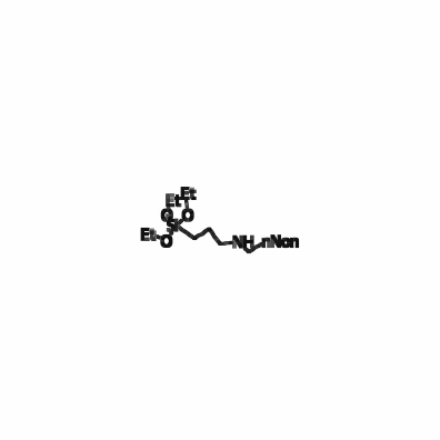 CCCCCCCCCCNCCC[Si](OCC)(OCC)OCC